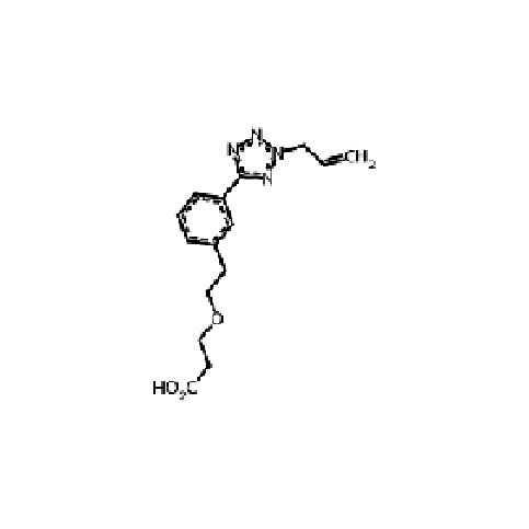 C=CCn1nnc(-c2cccc(CCOCCC(=O)O)c2)n1